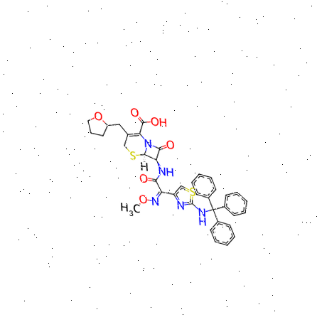 CO/N=C(\C(=O)N[C@@H]1C(=O)N2C(C(=O)O)=C(CC3CCCO3)CS[C@H]12)c1csc(NC(c2ccccc2)(c2ccccc2)c2ccccc2)n1